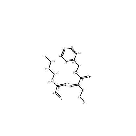 C=C(CCC)C(=O)OCc1ccccc1.C=CC(=O)OCCCC